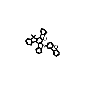 CC1(C)c2ccccc2-c2c1c1c3ccccc3oc1c1c2c2ccccc2n1-c1ccc2oc3ccccc3c2c1